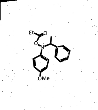 CCC(=O)ON(c1ccc(OC)cc1)C(C)c1ccccc1